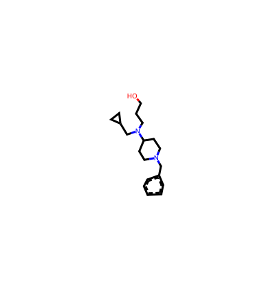 OCCCN(CC1CC1)C1CCN(Cc2ccccc2)CC1